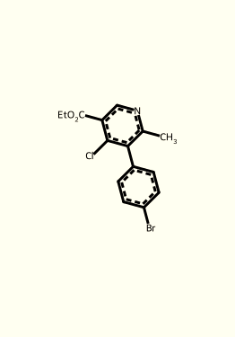 CCOC(=O)c1cnc(C)c(-c2ccc(Br)cc2)c1Cl